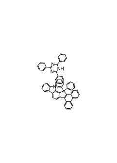 c1ccc(C2=NC(c3ccccc3)NC(c3cccc(-n4c5ccccc5c5ccc6c(c54)C(c4ccccc4)(c4ccccc4)c4c-6c5ccccc5c5ccccc45)c3)=N2)cc1